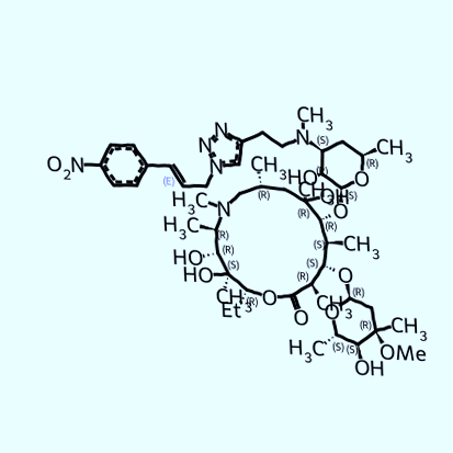 CC[C@H]1OC(=O)[C@H](C)[C@@H](O[C@H]2C[C@@](C)(OC)[C@@H](O)[C@H](C)O2)[C@H](C)[C@@H](O[C@@H]2O[C@H](C)C[C@H](N(C)CCc3cn(C/C=C/c4ccc([N+](=O)[O-])cc4)nn3)[C@H]2O)[C@](C)(O)C[C@@H](C)CN(C)[C@H](C)[C@@H](O)[C@]1(C)O